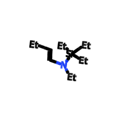 CC/C=C/N(CC)[Si](CC)(CC)CC